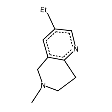 CCc1cnc2c(c1)CN(C)CC2